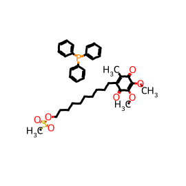 COC1=C(OC)C(=O)C(CCCCCCCCCCOS(C)(=O)=O)=C(C)C1=O.c1ccc(P(c2ccccc2)c2ccccc2)cc1